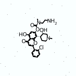 CN1CC[C@H](c2c(OC(=O)N(C)CCN)cc(O)c3c(=O)cc(-c4ccccc4Cl)oc23)[C@H](O)C1